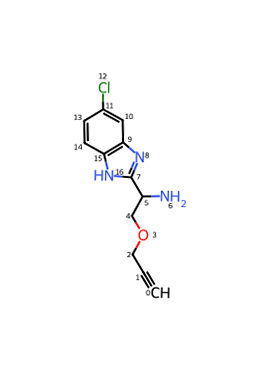 C#CCOCC(N)c1nc2cc(Cl)ccc2[nH]1